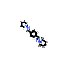 C(=NN1CCCCC1)c1ccc(C=NN2CCCCC2)cc1